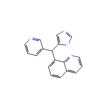 c1cncc(C(c2cnc[nH]2)c2cccc3cccnc23)c1